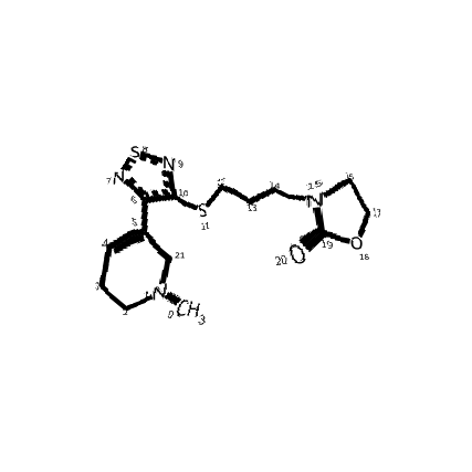 CN1CCC=C(c2nsnc2SCCCN2CCOC2=O)C1